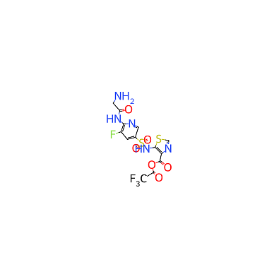 NCC(=O)Nc1ncc(S(=O)(=O)Nc2scnc2C(=O)OC(=O)C(F)(F)F)cc1F